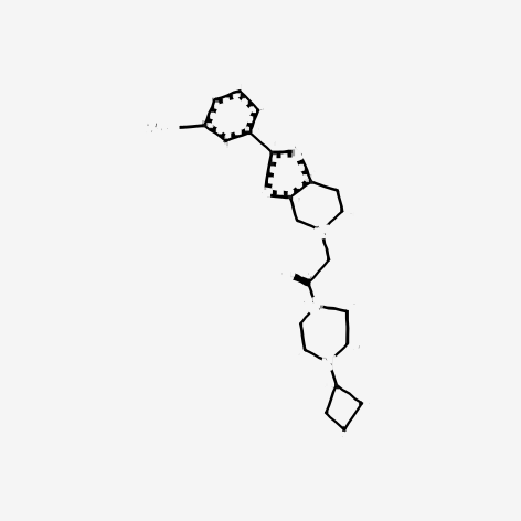 CSc1cccc(-c2nc3c(s2)CN(CC(=O)N2CCN(C4CCC4)CC2)CC3)c1